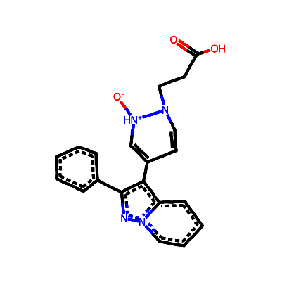 O=C(O)CCN1C=CC(c2c(-c3ccccc3)nn3ccccc23)=C[NH+]1[O-]